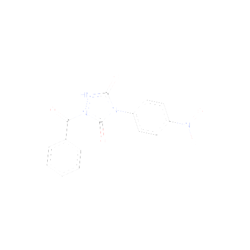 O=C(c1ccccc1)n1[nH]c(=O)n(-c2ccc([N+](=O)[O-])cc2)c1=O